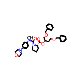 CN(C(=O)N1CCCC[C@H]1C(=O)OC(CCOCc1ccccc1)COCc1ccccc1)c1ccc(N2CCOCC2)cc1